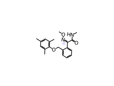 CNC(=O)/C(=N\OC)c1ccccc1COc1c(C)cc(C)cc1C